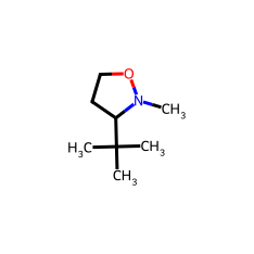 CN1OCCC1C(C)(C)C